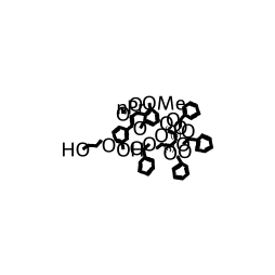 CCCOc1c(-c2ccc(OCCCO)c(O)c2)oc2cc(O[C@@H]3OC(COC(=O)c4ccccc4)[C@@H](OC(=O)c4ccccc4)C(OC(=O)c4ccccc4)[C@@H]3OC(=O)c3ccccc3)cc(OC)c2c1=O